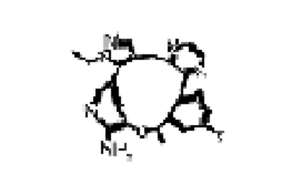 CCn1ncc2c1-c1cnc(N)c(c1)OC(C)c1cc(F)ccc1-c1nccnc1C2